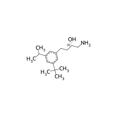 CC(C)c1cc(CC[C@H](O)CN)cc(C(C)(C)C)c1